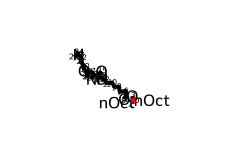 CCCCCCCCC(CCCCCCCC)OC(=O)CCCCCCCOC(=O)[C@@H]1CC(OCCCN(C)C)CN1